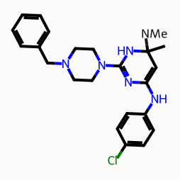 CNC1(C)C=C(Nc2ccc(Cl)cc2)N=C(N2CCN(Cc3ccccc3)CC2)N1